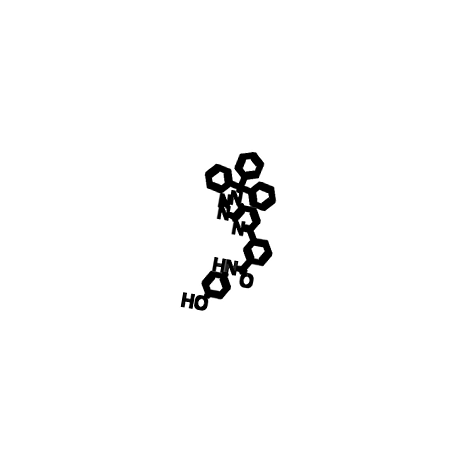 O=C(Nc1ccc(O)cc1)c1cccc(-c2ccc3c(nnn3C(c3ccccc3)(c3ccccc3)c3ccccc3)n2)c1